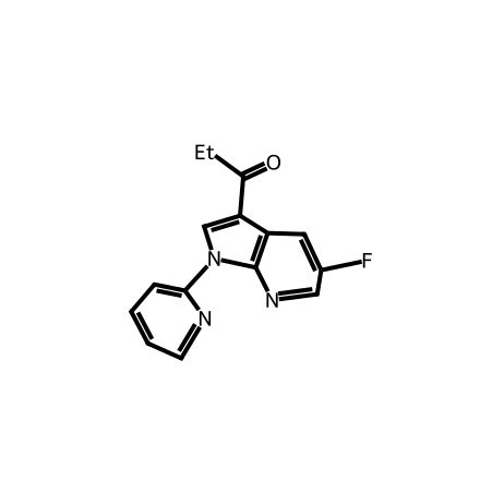 CCC(=O)c1cn(-c2ccccn2)c2ncc(F)cc12